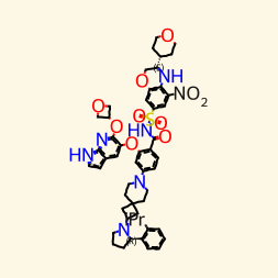 CC(C)c1ccccc1[C@H]1CCCN1C1CC2(CCN(c3ccc(C(=O)NS(=O)(=O)c4cc5c(c([N+](=O)[O-])c4)N[C@@H](C4CCOCC4)CO5)c(Oc4cc5cc[nH]c5nc4OC4COC4)c3)CC2)C1